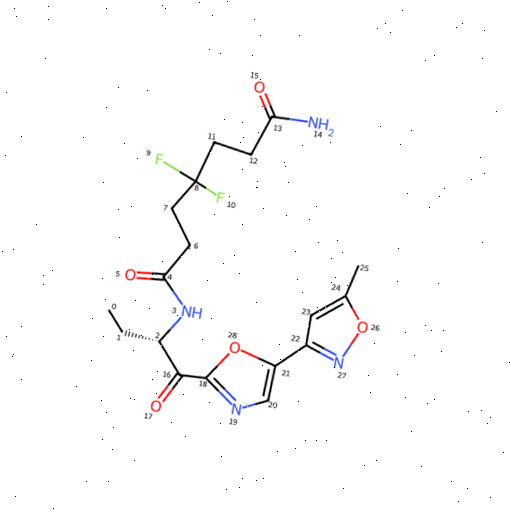 CC[C@H](NC(=O)[CH]CC(F)(F)CCC(N)=O)C(=O)c1ncc(-c2cc(C)on2)o1